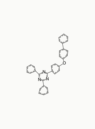 c1ccc(-c2ccc(Oc3ccc(-c4nc(-c5ccccc5)nc(-c5ccccc5)n4)cc3)cc2)cc1